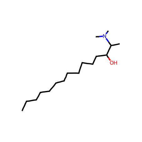 CCCCCCCCCCCCC(O)C(C)N(C)C